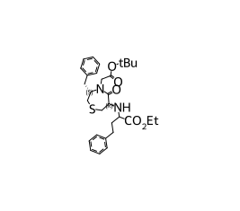 CCOC(=O)C(CCc1ccccc1)N[C@H]1CSC[C@H](Cc2ccccc2)N(CC(=O)OC(C)(C)C)C1=O